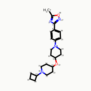 Cc1nc(-c2ccc(N3CCC(OC4CCN(C5CCC5)CC4)CC3)cc2)no1